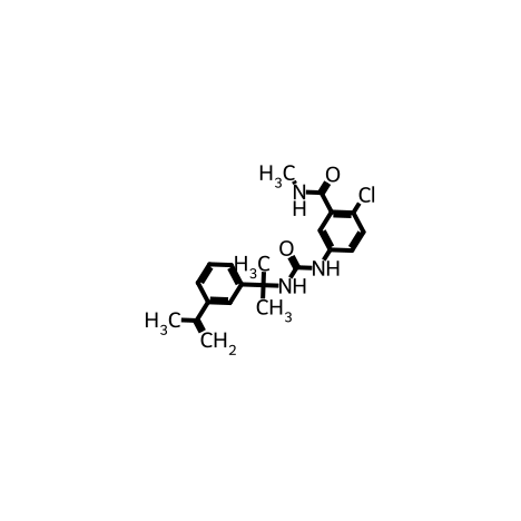 C=C(C)c1cccc(C(C)(C)NC(=O)Nc2ccc(Cl)c(C(=O)NC)c2)c1